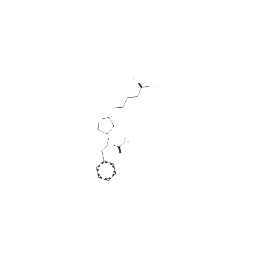 NC(=O)N(Cc1ccccc1)[C@H]1CS[C@H](CCCCC(=O)O)C1